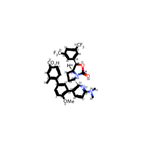 COc1ccc(-c2ccc(C(=O)O)cc2C)cc1-c1ccc(N(C)C)nc1[C@@H]1CC[C@H]2[C@@H](c3cc(C(F)(F)F)cc(C(F)(F)F)c3)OC(=O)N12